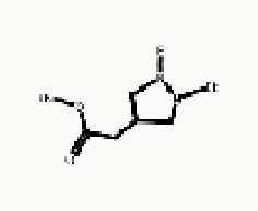 CCN1CC(CC(=O)OC(C)(C)C)CN1CC